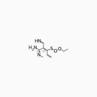 C=C/C(SOOCC)=C(C=N)\C(N)=N/C